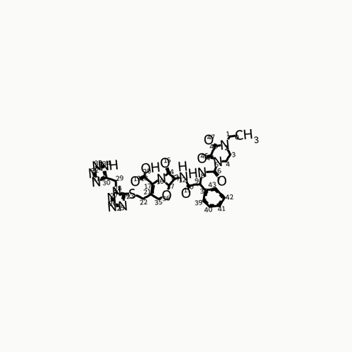 CCN1CCN(C(=O)NC(C(=O)N[C@@H]2C(=O)N3C(C(=O)O)=C(CSc4nnnn4Cc4nnn[nH]4)COC23)c2ccccc2)C(=O)C1=O